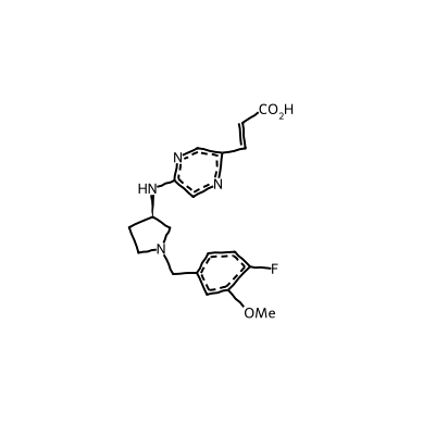 COc1cc(CN2CC[C@@H](Nc3cnc(/C=C/C(=O)O)cn3)C2)ccc1F